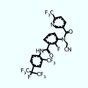 N#CCN(C(=O)c1ccc(C(F)(F)F)nc1)c1cccc(C(=O)Nc2ccc(C(F)(C(F)(F)F)C(F)(F)F)cc2C(F)(F)F)c1F